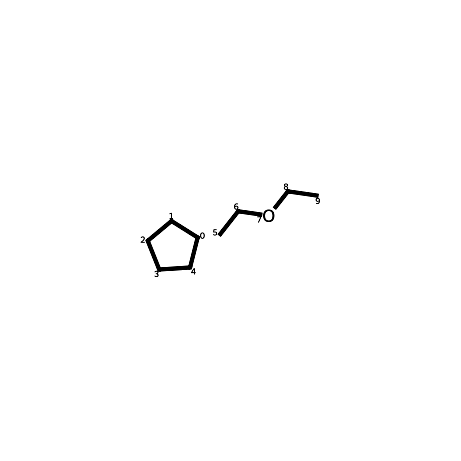 C1CCCC1.CCOCC